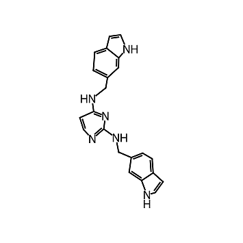 c1cc(NCc2ccc3cc[nH]c3c2)nc(NCc2ccc3cc[nH]c3c2)n1